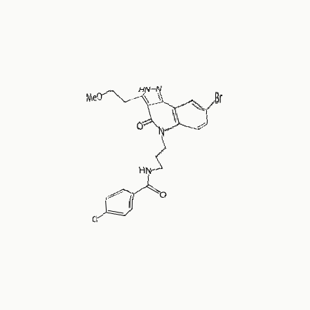 COCCc1[nH]nc2c1c(=O)n(CCCNC(=O)c1ccc(Cl)cc1)c1ccc(Br)cc21